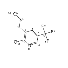 CSCc1cc(C(F)(F)F)cnc1Cl